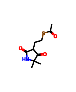 CC(=O)SCCC1C(=O)NC(C)(C)C1=O